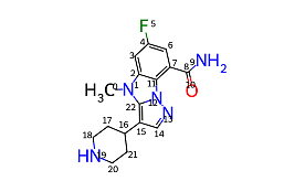 Cn1c2cc(F)cc(C(N)=O)c2n2ncc(C3CCNCC3)c12